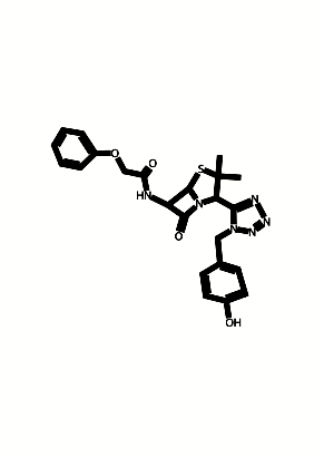 CC1(C)SC2C(NC(=O)COc3ccccc3)C(=O)N2C1c1nnnn1Cc1ccc(O)cc1